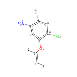 C/C=C(/C)Oc1cc(N)c(F)cc1Cl